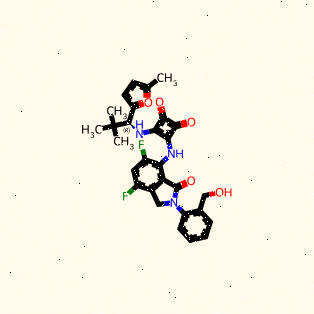 Cc1ccc([C@H](Nc2c(Nc3c(F)cc(F)c4c3C(=O)N(c3ccccc3CO)C4)c(=O)c2=O)C(C)(C)C)o1